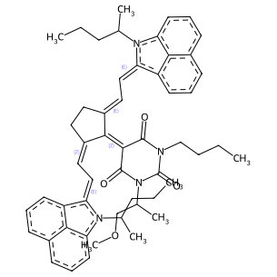 CCCCN1C(=O)/C(=C2C(=C\C=c3/c4cccc5cccc(c54)n3C(C)CCC)/CCC/2=C\C=c2/c3cccc4cccc(c43)n2C(C)CCC)C(=O)N(C(C)COC)C1=O